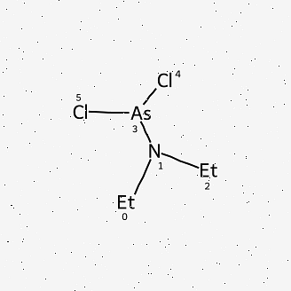 CCN(CC)[As](Cl)Cl